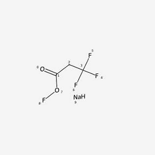 O=C(CC(F)(F)F)OF.[NaH]